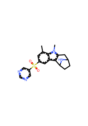 Cc1cc(S(=O)(=O)c2cncnc2)cc2c3c(n(C)c12)CC1CCC3N1